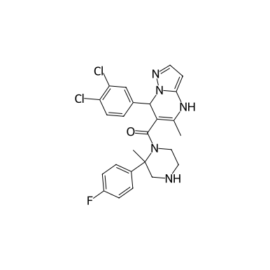 CC1=C(C(=O)N2CCNCC2(C)c2ccc(F)cc2)C(c2ccc(Cl)c(Cl)c2)n2nccc2N1